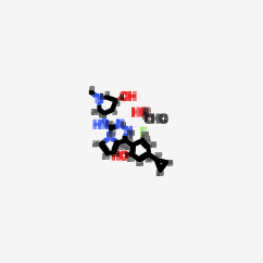 CN1C[C@H](O)C[C@@H](Nc2nnc(-c3c(O)cc(C4CC4)cc3F)c3cccn23)C1.O=CO